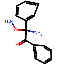 NOC(N)(C(=O)c1ccccc1)c1ccccc1